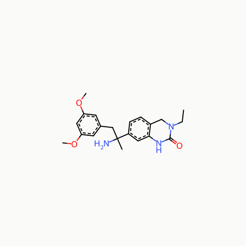 CCN1Cc2ccc(C(C)(N)Cc3cc(OC)cc(OC)c3)cc2NC1=O